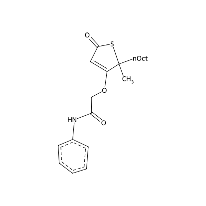 CCCCCCCCC1(C)SC(=O)C=C1OCC(=O)Nc1ccccc1